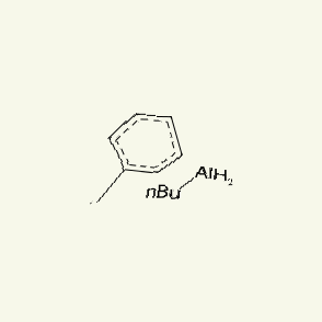 CCC[CH2][AlH2].[CH2]c1ccccc1